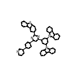 c1cncc(-c2ccc(-c3cc(-c4cc(-n5c6ccccc6c6ccccc65)cc(-n5c6ccccc6c6ccccc65)c4)nc(-c4ccc5sc6ccccc6c5c4)n3)cc2)c1